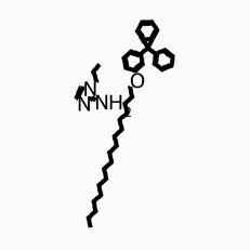 CCCCCCCCCCCCCCCCCCOc1cccc(C2(c3ccccc3)c3ccccc32)c1.CCCn1ccnc1N